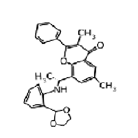 Cc1cc([C@@H](C)Nc2ccccc2C2OCCO2)c2oc(-c3ccccc3)c(C)c(=O)c2c1